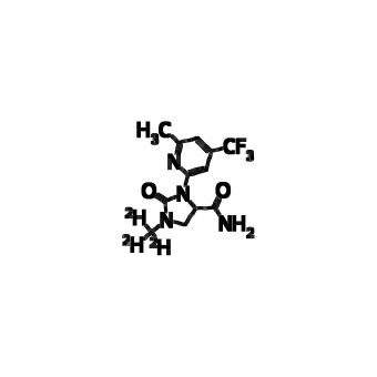 [2H]C([2H])([2H])N1CC(C(N)=O)N(c2cc(C(F)(F)F)cc(C)n2)C1=O